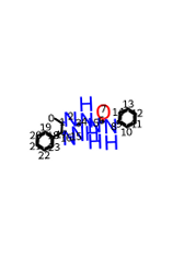 CC1N=C(NNC(=O)Nc2ccccc2)NN=C1c1ccccc1